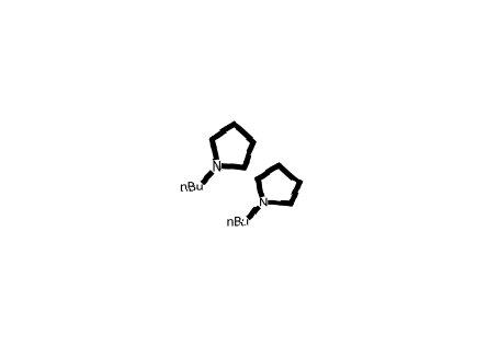 CCCCN1CCCC1.CCCCN1CCCC1